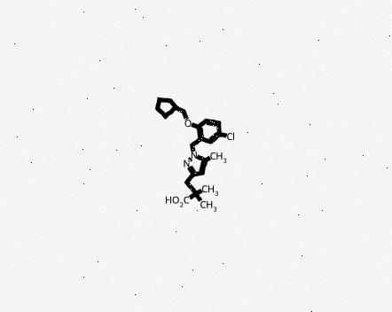 Cc1cc(CC(C)(C)C(=O)O)nn1Cc1cc(Cl)ccc1OCC1CCCC1